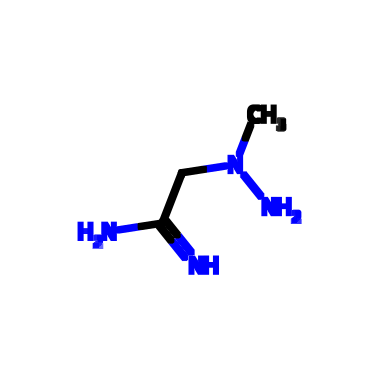 CN(N)CC(=N)N